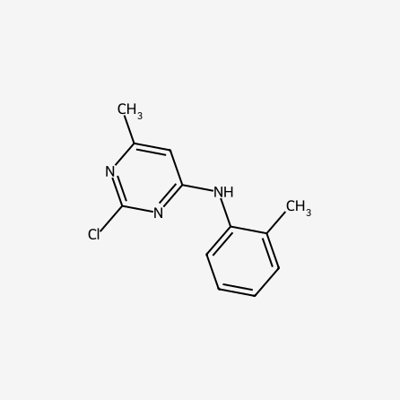 Cc1cc(Nc2ccccc2C)nc(Cl)n1